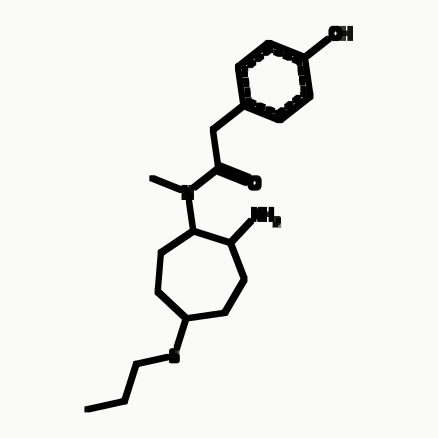 CCCSC1CCC(N)C(N(C)C(=O)Cc2ccc(O)cc2)CC1